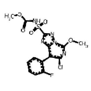 COC(=O)NS(=O)(=O)c1nc2c(-c3ccccc3F)c(Cl)nc(OC)n2n1